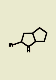 CC(C)C1CC2CCCC2N1